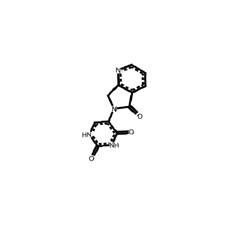 O=C1c2cccnc2CN1c1c[nH]c(=O)[nH]c1=O